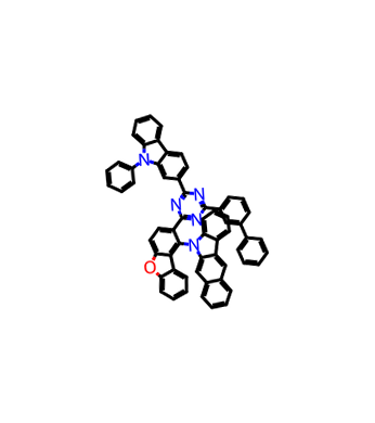 c1ccc(-c2cccc(-c3nc(-c4ccc5c6ccccc6n(-c6ccccc6)c5c4)nc(-c4ccc5oc6ccccc6c5c4-n4c5ccccc5c5cc6ccccc6cc54)n3)c2)cc1